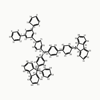 c1ccc(-c2cc(-c3ccccc3)cc(-c3ccc(N(c4ccc(-c5ccc(-n6c7ccccc7c7ccccc76)cc5)cc4)c4ccc(C5(c6ccccc6)c6ccccc6-c6ccccc65)cc4)cc3)c2)cc1